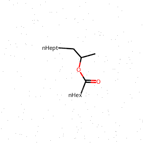 CCCCCCCCC(C)OC(=O)CCCCCC